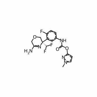 Cn1ccc(OC(=O)Nc2ccc(F)c([C@]3(C(F)F)COCC(N)=N3)c2)n1